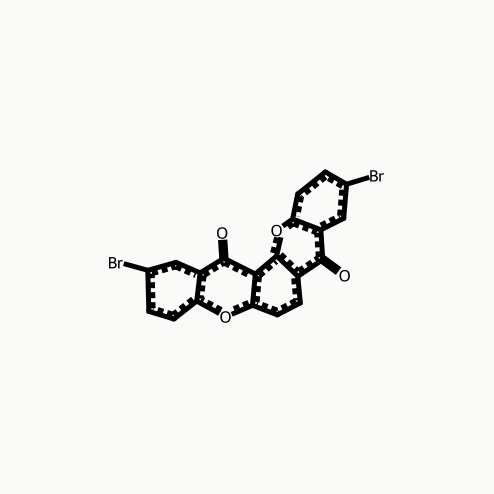 O=c1c2cc(Br)ccc2oc2c1ccc1oc3ccc(Br)cc3c(=O)c12